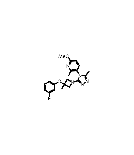 COc1ccc(-n2c(C)nnc2N2CC(C)(Oc3cccc(F)c3)C2)c(C)n1